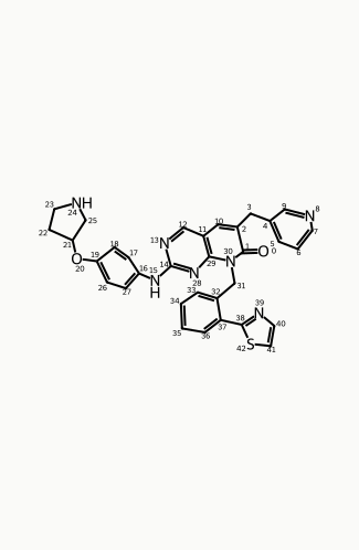 O=c1c(Cc2cccnc2)cc2cnc(Nc3ccc(OC4CCNC4)cc3)nc2n1Cc1ccccc1-c1nccs1